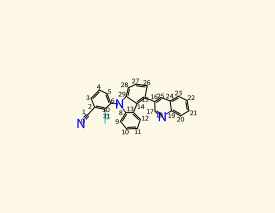 N#Cc1cccc(-n2c3ccccc3c3c(-c4cnc5ccccc5c4)cccc32)c1F